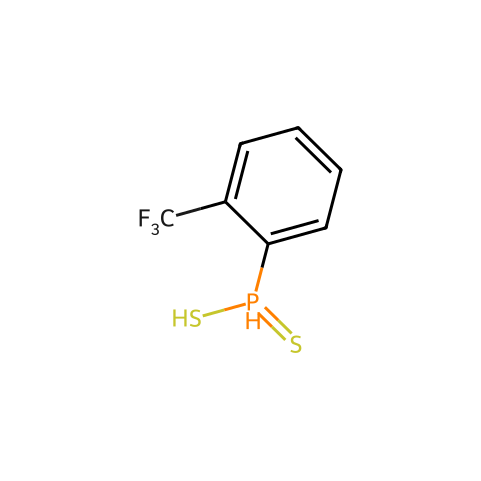 FC(F)(F)c1ccccc1[PH](=S)S